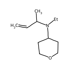 C=CC(C)N(CC)C1CCOCC1